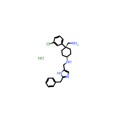 Cl.NC[C@]1(c2cccc(Cl)c2)CC[C@H](NCc2cnc(Cc3ccccc3)[nH]2)CC1